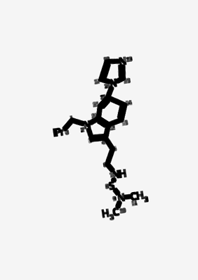 CC(C)Cn1cc(CCNSN(C)C)c2ccc(-n3ccnc3)cc21